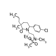 C=CC[C@@]1(C)CCC(c2ccc(Cl)cc2)N([C@@H](CC)CN(C)S(C)(=O)=O)C1=O